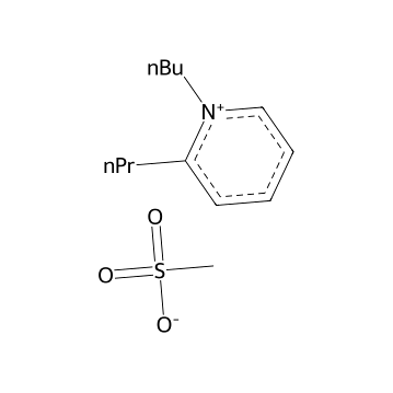 CCCC[n+]1ccccc1CCC.CS(=O)(=O)[O-]